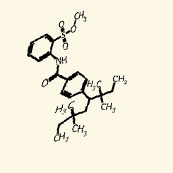 CCC(C)(C)CC(c1ccc(C(=O)Nc2ccccc2S(=O)(=O)OC)cc1)C(C)(C)CC